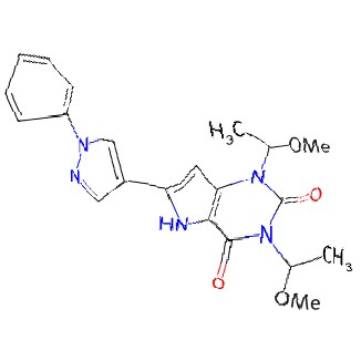 COC(C)n1c(=O)c2[nH]c(-c3cnn(-c4ccccc4)c3)cc2n(C(C)OC)c1=O